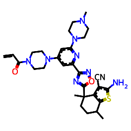 C=CC(=O)N1CCN(c2cc(-c3noc(C4(C)CCC(C)c5sc(N)c(C#N)c54)n3)nc(N3CCN(C)CC3)c2)CC1